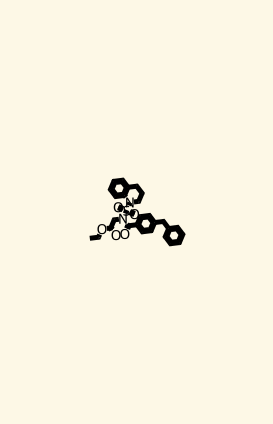 CCOC(=O)CN(C(=O)c1ccc(Cc2ccccc2)cc1)S(=O)(=O)N1CCCc2ccccc21